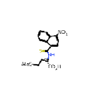 CSCC[C@H](NC(=S)c1ccc([N+](=O)[O-])c2ccccc12)C(=O)O